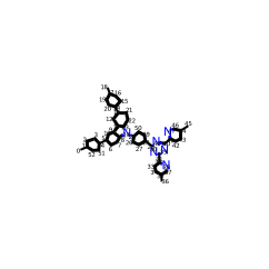 Cc1ccc(-c2ccc3c(c2)c2cc(-c4ccc(C)cc4)ccc2n3-c2ccc(-c3nc(-c4ccc(C)cn4)nc(-c4ccc(C)cn4)n3)cc2)cc1